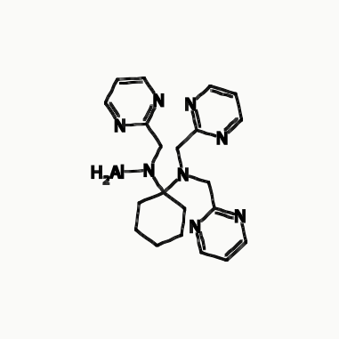 [AlH2][N](Cc1ncccn1)C1(N(Cc2ncccn2)Cc2ncccn2)CCCCC1